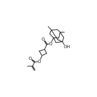 C=C(C)C(=O)OC1CC(C(=O)OC23CC4(C)CC(C)(CC(O)(C4)C2)C3)C1